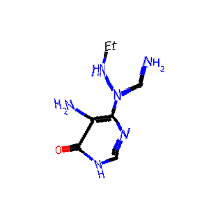 CCNN(CN)c1nc[nH]c(=O)c1N